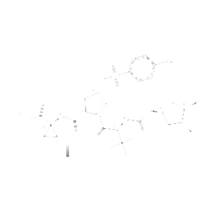 C=C[C@@H]1C[C@]1(NC(=O)[C@@H]1C[C@H](OS(=O)(=O)c2ccc(Br)cc2)CN1C(=O)[C@@H](NC(=O)O[C@H]1C[C@@H](C)[C@@H](C)C1)C(C)(C)C)C(=O)OC